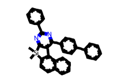 C[Si]1(C)c2ccc3ccccc3c2-c2c(-c3ccc(-c4ccccc4)cc3)nc(-c3ccccc3)nc21